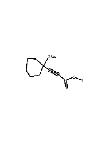 C=C(C#CC1(OC)CCCCC1)SI